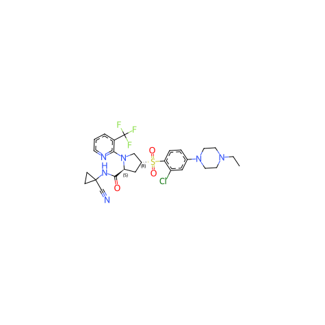 CCN1CCN(c2ccc(S(=O)(=O)[C@@H]3C[C@@H](C(=O)NC4(C#N)CC4)N(c4ncccc4C(F)(F)F)C3)c(Cl)c2)CC1